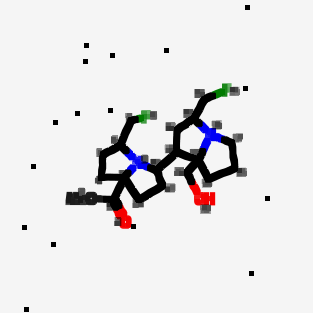 COC(=O)C12CCC(CF)N1C(C1CC(CF)N3CCCC13CO)CC2